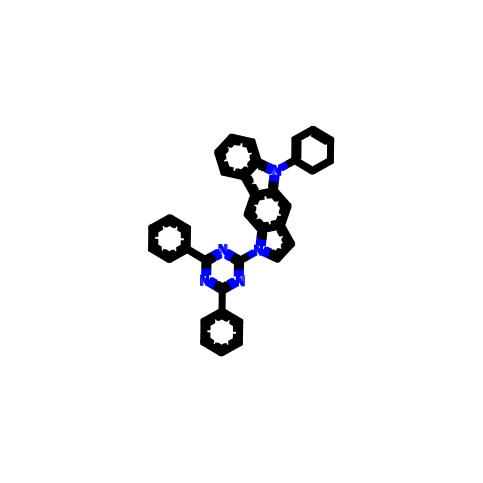 C1=CCCC(n2c3ccccc3c3cc4c(ccn4-c4nc(-c5ccccc5)nc(-c5ccccc5)n4)cc32)=C1